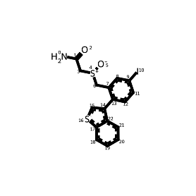 NC(=O)C[S+]([O-])Cc1cc(I)ccc1-c1csc2ccccc12